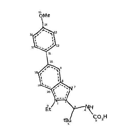 CCn1c(C(NC(=O)O)C(C)(C)C)nc2cc(-c3ccc(OC)cc3)ccc21